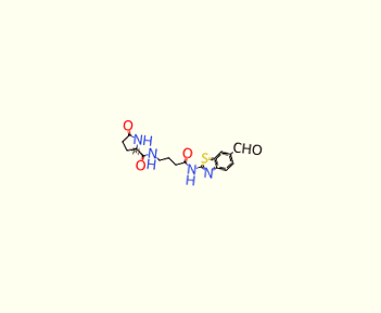 O=Cc1ccc2nc(NC(=O)CCCNC(=O)[C@H]3CCC(=O)N3)sc2c1